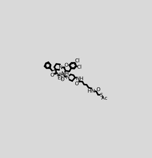 CCNC(=O)[C@]1(Cc2ccccc2)CCCN(C(=O)C(Cc2ccc(Cl)c(Cl)c2)NC(=O)N2CCC(NC(=O)CCCCCNC(=O)CSC(C)=O)CC2)C1